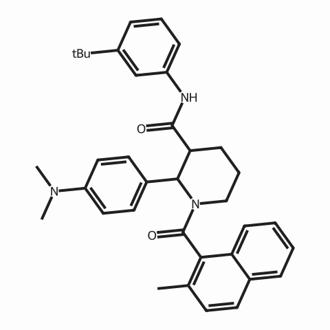 Cc1ccc2ccccc2c1C(=O)N1CCCC(C(=O)Nc2cccc(C(C)(C)C)c2)C1c1ccc(N(C)C)cc1